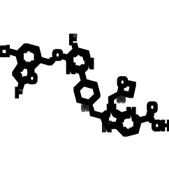 O=C(O)c1ccc2nc(C[C@@H]3CC=C(c4ncc(F)c(OCc5ccc(Cl)c6cc(F)oc56)n4)CC3)n(C[C@@H]3CCO3)c2n1